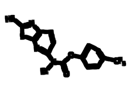 CCN(C(=O)Oc1ccc(C(F)(F)F)cc1)c1ccc2nc(S)sc2n1